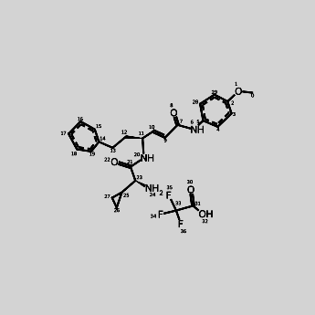 COc1ccc(NC(=O)C=C[C@H](CCc2ccccc2)NC(=O)[C@@H](N)C2CC2)cc1.O=C(O)C(F)(F)F